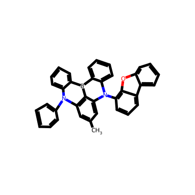 Cc1cc2c3c(c1)N(c1cccc4c1oc1ccccc14)c1ccccc1B3c1ccccc1N2c1ccccc1